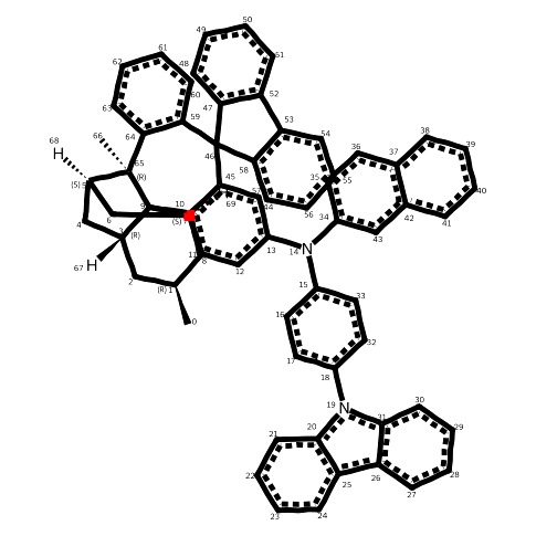 C[C@H]1C[C@@H]2C[C@@H]3C[C@H](C1)C21c2ccc(N(c4ccc(-n5c6ccccc6c6ccccc65)cc4)c4ccc5ccccc5c4)cc2C2(c4ccccc4-c4ccccc42)c2ccccc2[C@]31C